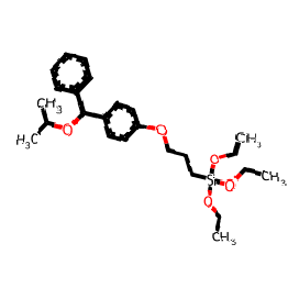 CCO[Si](CCCOc1ccc([C](OC(C)C)c2ccccc2)cc1)(OCC)OCC